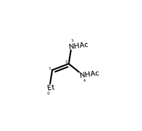 CCC=C(NC(C)=O)NC(C)=O